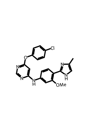 COc1cc(Nc2cc(Oc3ccc(Cl)cc3)ncn2)ccc1-c1nc(C)c[nH]1